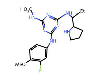 CCC(Nc1nc(NC(=O)O)nc(Nc2ccc(OC)c(F)c2)n1)C1CCCN1